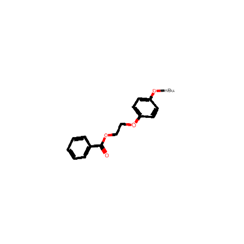 CCCCOc1ccc(OCCOC(=O)c2[c]cccc2)cc1